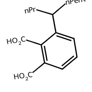 CCCCCC(CCC)c1cccc(C(=O)O)c1C(=O)O